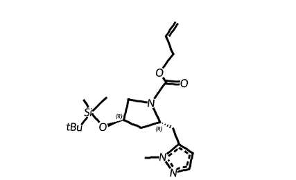 C=CCOC(=O)N1C[C@H](O[Si](C)(C)C(C)(C)C)C[C@H]1Cc1ccnn1C